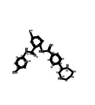 O=C(Nc1ccc(F)cc1C(=O)Nc1ccc(Cl)cn1)c1ccc(C2CNCCCN2)nc1